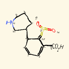 O=C(O)C1=CC=CC(C2CCCNC2)C1=S(=O)=O